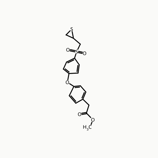 COC(=O)Cc1ccc(Oc2ccc(S(=O)(=O)CC3CS3)cc2)cc1